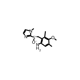 COc1c(C)cc(N)c(C[S+]([O-])c2nccn2C)c1C